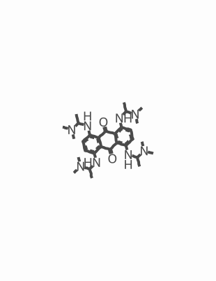 CC(Nc1ccc(NC(C)N(C)C)c2c1C(=O)c1c(NC(C)N(C)C)ccc(NC(C)N(C)C)c1C2=O)N(C)C